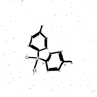 CC[Si](Cl)(c1ccc(C)cc1)c1ccc(C)cc1